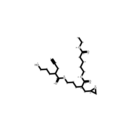 C#CCC(CCCO)C(=O)OCCCC(CC1CO1)C(=O)OCCCCC(=O)OCC